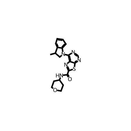 CC1CN(c2ncnc3sc(C(=O)NC4CCOCC4)nc23)c2ccccc21